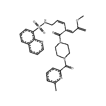 C=C(/C=C(\C=C/CNS(=O)(=O)c1cccc2cccnc12)C(=O)N1CCN(C(=O)c2cccc(C)n2)CC1)OC